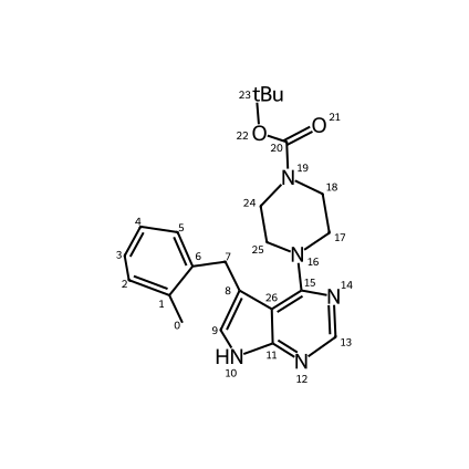 Cc1ccccc1Cc1c[nH]c2ncnc(N3CCN(C(=O)OC(C)(C)C)CC3)c12